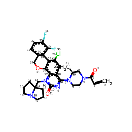 C=CC(=O)N1CCN(c2nc(=O)n(CC34CCCN3CCC4)c3c4c(c(Cl)cc23)-c2c(ccc(F)c2F)CO4)[C@@H](C)C1